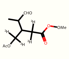 [2H]C([2H])(OC(C)=O)C(C(C)C=O)C([2H])([2H])C(=O)OOC